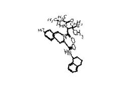 CN[C@@H](C)C(=O)NC(C(=O)N1Cc2cc(O)ccc2CC1C(=O)NC1CCCc2ccccc21)C(C)(C)C